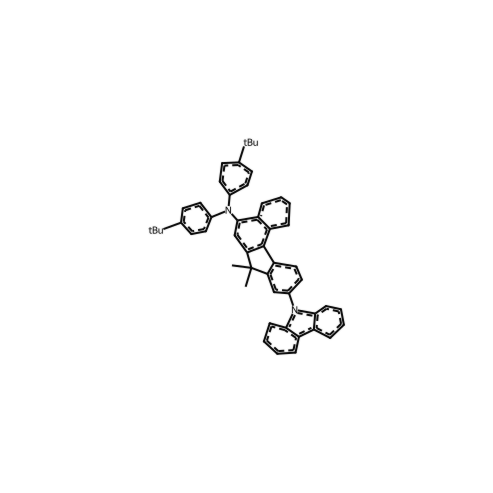 CC(C)(C)c1ccc(N(c2ccc(C(C)(C)C)cc2)c2cc3c(c4ccccc24)-c2ccc(-n4c5ccccc5c5ccccc54)cc2C3(C)C)cc1